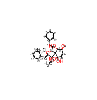 COC(/C=C/c1ccccc1)C1(C(/C=C/c2ccccc2)OC)C(O)C(=O)C=CC1(O)O